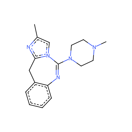 Cc1cn2c(n1)Cc1ccccc1N=C2N1CCN(C)CC1